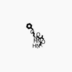 CN[C@@H](C)C(=O)N[C@H](C(=O)N(C)CCOCc1ccccc1)C(C)C